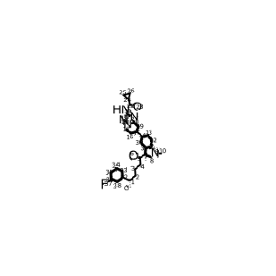 C[C@@H](CCCC(=O)c1cn(C)c2ccc(-c3ccn4nc(NC(=O)C5CC5)nc4c3)cc12)c1cccc(F)c1